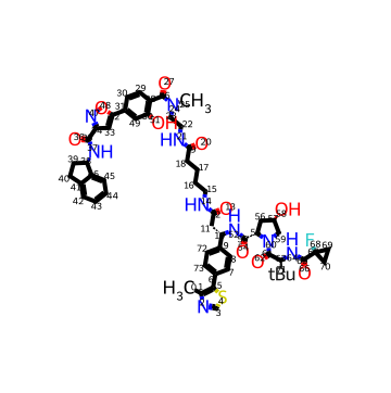 Cc1ncsc1-c1ccc([C@H](CC(=O)NCCCCC(=O)NCCN(C)C(=O)c2ccc(-c3cc(C(=O)N[C@@H]4CCc5ccccc54)no3)cc2O)NC(=O)[C@@H]2C[C@@H](O)CN2C(=O)[C@@H](NC(=O)C2(F)CC2)C(C)(C)C)cc1